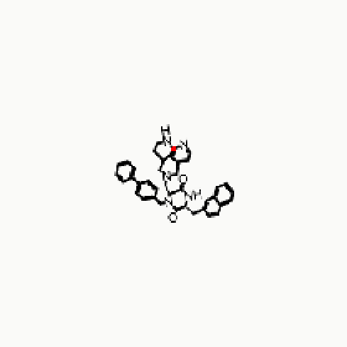 O=C1N[C@@H](Cc2ccc3ccccc3c2)C(=O)N(Cc2ccc(-c3ccccc3)cc2)[C@H]1CN(Cc1ccncc1)CC1CCNCC1